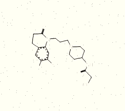 CC(C)CC(=O)NC1CCN(CCCN2C(=O)CCc3cc(F)c(F)cc32)CC1